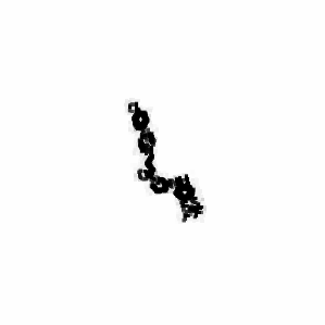 O=C(CCCN1CCN(c2ccc(Cl)cc2)CC1)N1CCC[C@H](Nc2ccc(SC(F)(F)F)cc2)C1